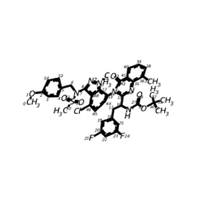 COc1ccc(CN(c2nn(C)c3c(-n4c(C(Cc5cc(F)cc(F)c5)NC(=O)OC(C)(C)C)nc5c(C)cccc5c4=O)ccc(Cl)c23)S(C)(=O)=O)cc1